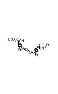 CCOC(=O)/C(C#N)=C/c1ccc(N(CC)CCOCCOCCN(CC)c2ccc(/C=C(\C#N)C(=O)OCC)cc2)cc1